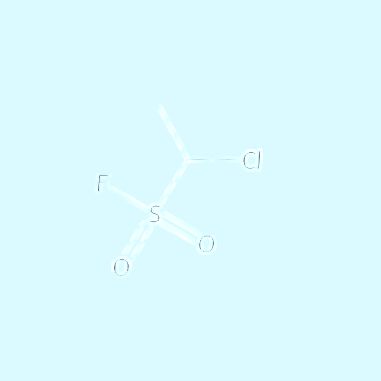 CC(Cl)S(=O)(=O)F